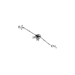 CCCCCCCCCCCCCCCCCCCC(O)O[PH](=O)OC(O)CCCCCCCCCCCCCCCCCCC